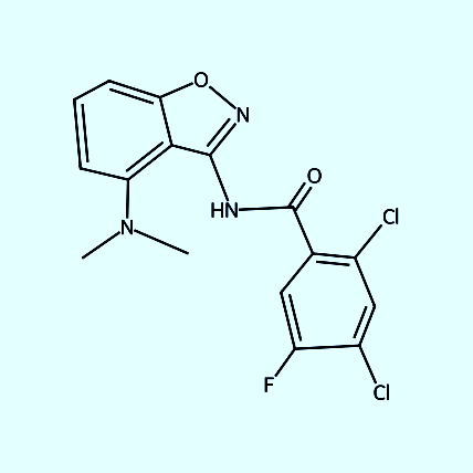 CN(C)c1cccc2onc(NC(=O)c3cc(F)c(Cl)cc3Cl)c12